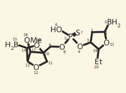 BC1CC(OP(O)(=S)OCC23COC(C(B)O2)C3OC)C(CC)O1